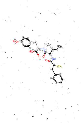 CC[C@H](C)[C@H](NC(=O)C(S)Cc1ccccc1)C(=O)N[C@@H](Cc1ccc(O)cc1)C(=O)O